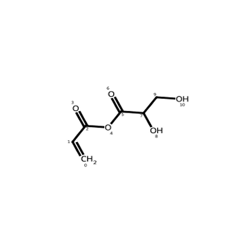 C=CC(=O)OC(=O)C(O)CO